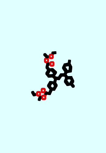 CCOC(C)OC(=O)Cc1ccc(C(=CC=C(c2ccc(C)cc2)c2ccc(C)cc2)c2ccc(CC(=O)OC(C)OCC)cc2)cc1